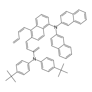 C=C/C=C\c1c(/C=C\C(=C)N(c2ccc(C(C)(C)C)cc2)c2ccc(C(C)(C)C)cc2)ccc2c(N(c3ccc4ccccc4c3)c3ccc4ccccc4c3)cccc12